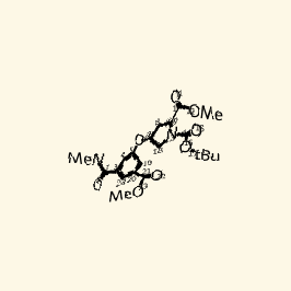 CNC(=O)c1cc(O[C@H]2C[C@@H](C(=O)OC)N(C(=O)OC(C)(C)C)C2)cc(C(=O)OC)c1